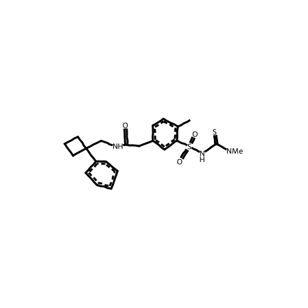 CNC(=S)NS(=O)(=O)c1cc(CC(=O)NCC2(c3ccccc3)CCC2)ccc1C